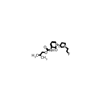 CC(C)COC(=O)Nc1cccn([C@H]2CCN(CCF)C2)c1=O